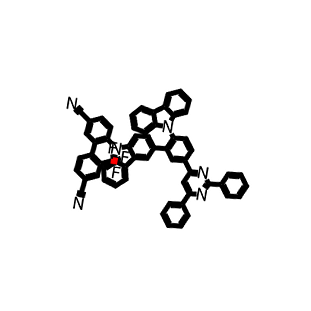 N#Cc1ccc(-n2c3ccccc3c3cc(-c4cc(-c5cc(-c6ccccc6)nc(-c6ccccc6)n5)ccc4-n4c5ccccc5c5ccccc54)ccc32)c(-c2ccc(C#N)cc2C(F)(F)F)c1